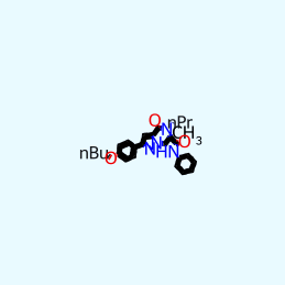 CCCCOc1ccc(-c2cc3n(n2)CC(C)(C(=O)NC2CCCCC2)N(CCC)C3=O)cc1